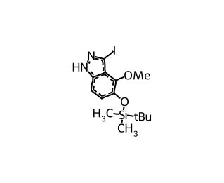 COc1c(O[Si](C)(C)C(C)(C)C)ccc2[nH]nc(I)c12